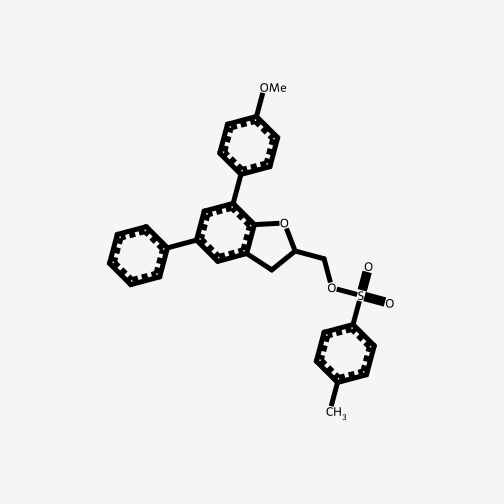 COc1ccc(-c2cc(-c3ccccc3)cc3c2OC(COS(=O)(=O)c2ccc(C)cc2)C3)cc1